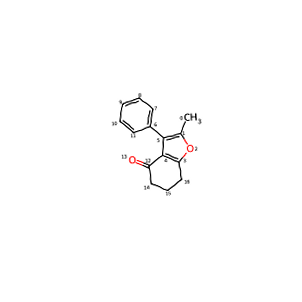 Cc1oc2c(c1-c1ccccc1)C(=O)CCC2